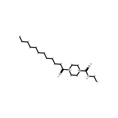 CCCCCCCCCCCC(=O)N1CCN(C(=O)OCC)CC1